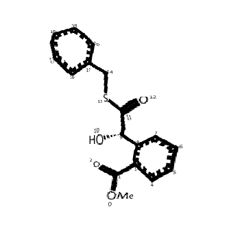 COC(=O)c1ccccc1[C@H](O)C(=O)SCc1ccccc1